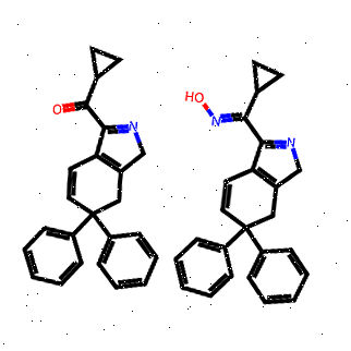 O=C(C1=NCC2=C1C=CC(c1ccccc1)(c1ccccc1)C2)C1CC1.ON=C(C1=NCC2=C1C=CC(c1ccccc1)(c1ccccc1)C2)C1CC1